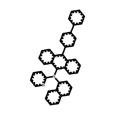 c1ccc(-c2ccc(-c3c4ccccc4c(N(c4ccccn4)c4cccc5ccccc45)c4ccccc34)cc2)cc1